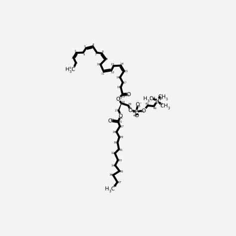 CC/C=C\C/C=C\C/C=C\C/C=C\C/C=C\CCCC(=O)O[C@H](COC(=O)CCCCCCCCCCCC)COP(=O)([O-])OCC[N+](C)(C)C